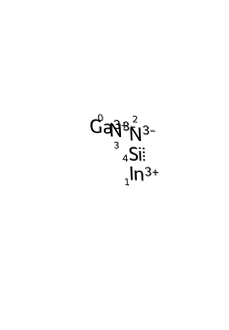 [Ga+3].[In+3].[N-3].[N-3].[Si]